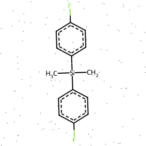 [CH2][Si](C)(c1ccc(F)cc1)c1ccc(F)cc1